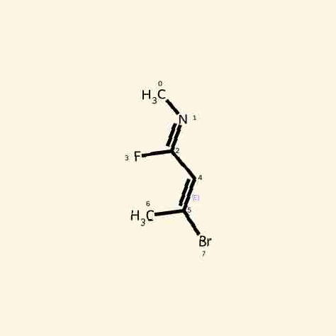 CN=C(F)/C=C(\C)Br